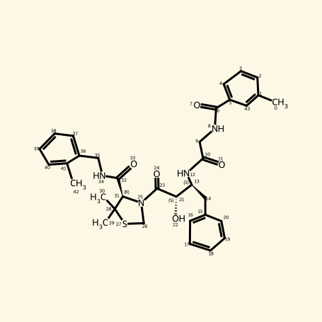 Cc1cccc(C(=O)NCC(=O)N[C@@H](Cc2ccccc2)[C@H](O)C(=O)N2CSC(C)(C)[C@H]2C(=O)NCc2ccccc2C)c1